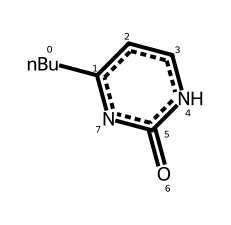 CCCCc1cc[nH]c(=O)n1